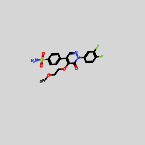 CCCOCCOc1c(-c2ccc(S(N)(=O)=O)cc2)cnn(-c2ccc(F)c(F)c2)c1=O